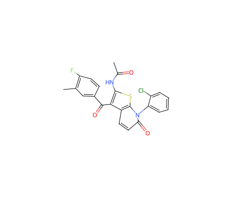 CC(=O)Nc1sc2c(ccc(=O)n2-c2ccccc2Cl)c1C(=O)c1ccc(F)c(C)c1